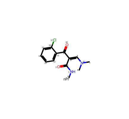 CCCNC(=O)C(=CN(C)C)C(=O)c1ccccc1Cl